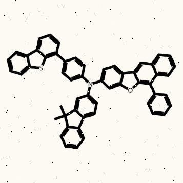 CC1(C)c2ccccc2-c2ccc(N(c3ccc(-c4cccc5c4sc4ccccc45)cc3)c3ccc4c(c3)oc3c(-c5ccccc5)c5ccccc5cc34)cc21